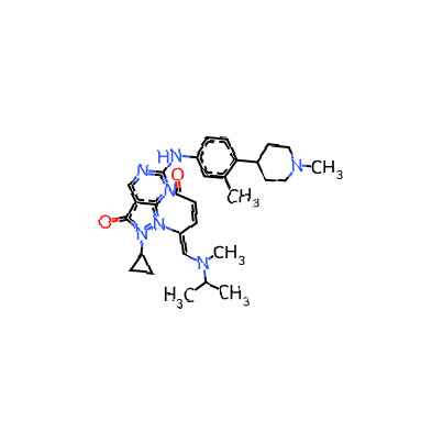 Cc1cc(Nc2ncc3c(=O)n(C4CC4)n(C(/C=C\C=O)=C/N(C)C(C)C)c3n2)ccc1C1CCN(C)CC1